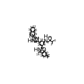 CC(C)C(=O)CNc1cc(C(=O)NC(C)c2ccc(F)cc2)cc(-c2c[nH]c(-c3cc4ccccc4cn3)n2)c1